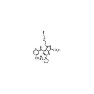 Cc1ccnc(Nc2nc(N3CCCC3C)nc3c(C(=O)O)nn(CCOCCF)c23)c1